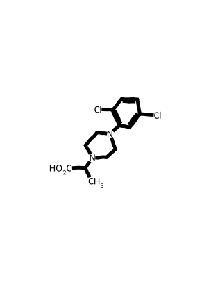 CC(C(=O)O)N1CCN(c2cc(Cl)ccc2Cl)CC1